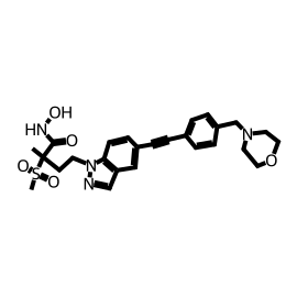 CC(CCn1ncc2cc(C#Cc3ccc(CN4CCOCC4)cc3)ccc21)(C(=O)NO)S(C)(=O)=O